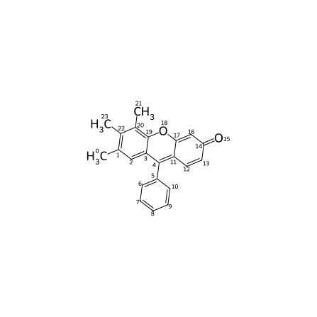 Cc1cc2c(-c3ccccc3)c3ccc(=O)cc-3oc2c(C)c1C